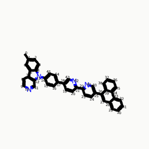 Cc1ccc2c(c1)c1ccncc1n2-c1ccc(-c2ccc(-c3ccc(-c4cc5ccccc5c5ccccc45)cn3)nc2)cc1